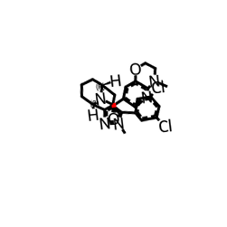 CN1CCOc2cc(C(=O)N3[C@@H]4CCC[C@H]3c3nn(C)c(-c5cc(Cl)cc(Cl)c5)c3C4)cnc21